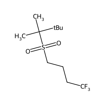 CC(C)(C)C(C)(C)S(=O)(=O)CCCC(F)(F)F